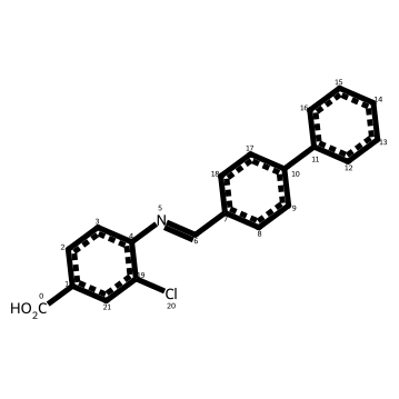 O=C(O)c1ccc(N=Cc2ccc(-c3ccccc3)cc2)c(Cl)c1